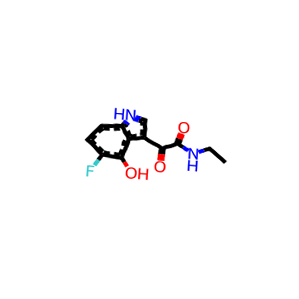 CCNC(=O)C(=O)c1c[nH]c2ccc(F)c(O)c12